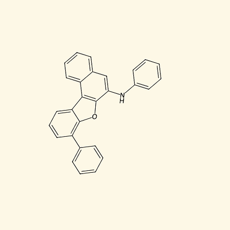 c1ccc(Nc2cc3ccccc3c3c2oc2c(-c4ccccc4)cccc23)cc1